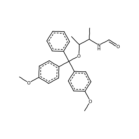 COc1ccc(C(OC(C)C(C)NC=O)(c2ccccc2)c2ccc(OC)cc2)cc1